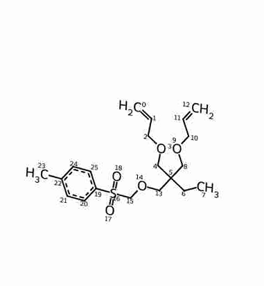 C=CCOCC(CC)(COCC=C)COCS(=O)(=O)c1ccc(C)cc1